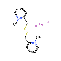 C[n+]1ccccc1CSSCc1cccc[n+]1C.I.I.I.I